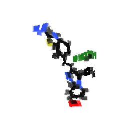 Cc1c(CCc2ccc3nc(N)sc3c2)nc2cc(O)ccn12.Cl.Cl